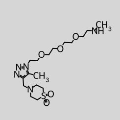 CNCCOCCOCCOCCn1nnc(CN2CCS(=O)(=O)CC2)c1C